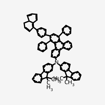 CC1(C)c2ccccc2-c2ccc(N(c3ccc4c(c3)C(C)(C)c3ccccc3-4)c3ccc4c(c3)c3ccccc3c3c(-c5ccccc5)cc(-c5ccc(C6=C7C=CC=CC7CC=C6)cc5)c(-c5ccccc5)c43)cc21